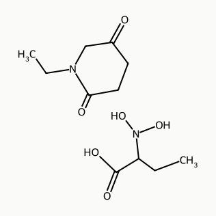 CCC(C(=O)O)N(O)O.CCN1CC(=O)CCC1=O